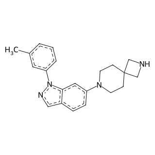 Cc1cccc(-n2ncc3ccc(N4CCC5(CC4)CNC5)cc32)c1